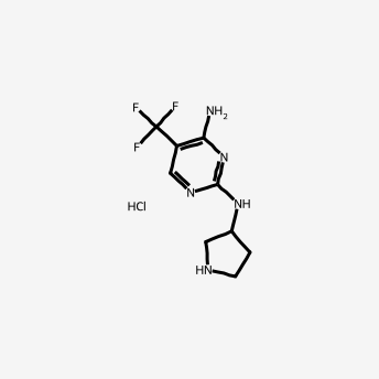 Cl.Nc1nc(NC2CCNC2)ncc1C(F)(F)F